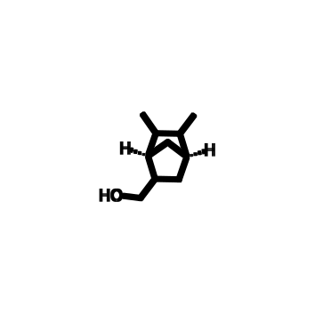 CC1C(C)[C@H]2C[C@@H]1CC2CO